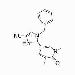 Cc1cc(C2NC(C#N)=CN2Cc2ccccc2)cn(C)c1=O